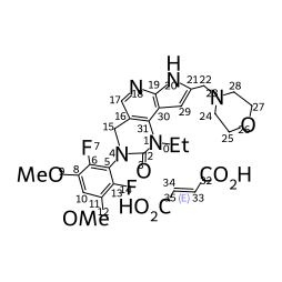 CCN1C(=O)N(c2c(F)c(OC)cc(OC)c2F)Cc2cnc3[nH]c(CN4CCOCC4)cc3c21.O=C(O)/C=C/C(=O)O